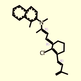 C=C(C)/C=C/C1=C(Cl)C(=C/C=C(\C)N(C)c2ccc3ccccc3c2C)/CCC1